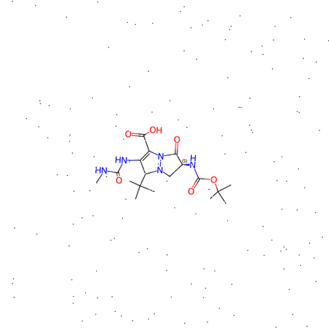 CNC(=O)NC1=C(C(=O)O)N2C(=O)[C@@H](NC(=O)OC(C)(C)C)CN2C1C(C)(C)C